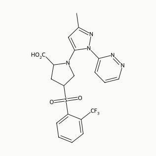 Cc1cc(N2CC(S(=O)(=O)c3ccccc3C(F)(F)F)CC2C(=O)O)n(-c2cccnn2)n1